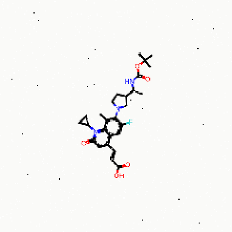 Cc1c(N2CCC([C@H](C)NC(=O)OC(C)(C)C)C2)c(F)cc2c(C=CC(=O)O)cc(=O)n(C3CC3)c12